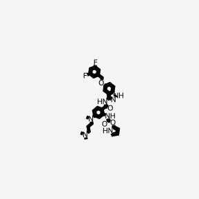 CN(C)CCCN(C)c1ccc(C(=O)Nc2n[nH]c3ccc(OCc4cc(F)cc(F)c4)cc23)c(NC(=O)Oc2ccc[nH]2)c1